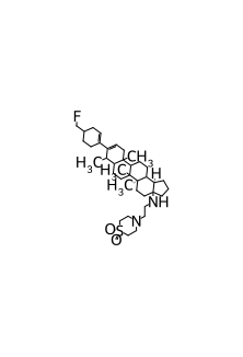 CC1C(C2=CCC(CF)CC2)=CCC2(C)C1CCC1(C)C2CCC2[C@H]3CCCC3(NCCN3CCS(=O)(=O)CC3)CC[C@]21C